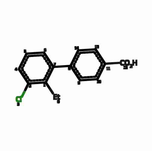 CCc1c(Cl)cccc1-c1ccc(C(=O)O)cc1